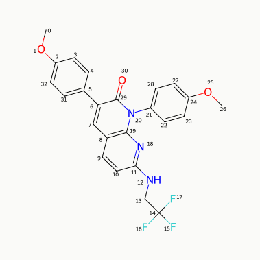 COc1ccc(-c2cc3ccc(NCC(F)(F)F)nc3n(-c3ccc(OC)cc3)c2=O)cc1